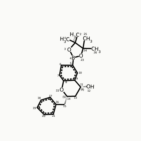 CC1(C)OB(c2ccc3c(c2)[C@H](O)C[C@H](Cc2ccccc2)O3)OC1(C)C